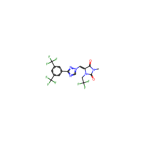 CN1C(=O)/C(=C/n2cnc(-c3cc(C(F)(F)F)cc(C(F)(F)F)c3)n2)N(CC(F)(F)F)C1=O